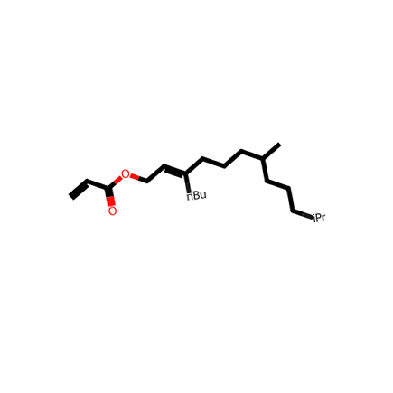 C=CC(=O)OC/C=C(\CCCC)CCCC(C)CCCC(C)C